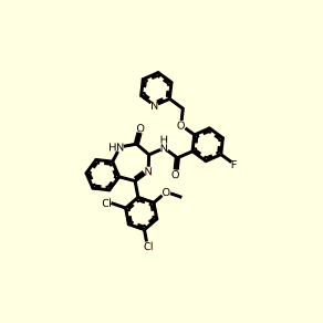 COc1cc(Cl)cc(Cl)c1C1=NC(NC(=O)c2cc(F)ccc2OCc2ccccn2)C(=O)Nc2ccccc21